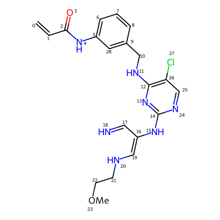 C=CC(=O)Nc1cccc(CNc2nc(N/C(C=N)=C/NCCOC)ncc2Cl)c1